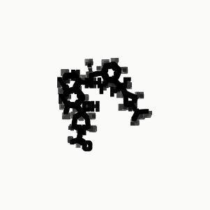 CC(=O)N1CCC(O)(c2cc3c(N[C@H](C)c4cccc(C(F)(F)C5CN(C(C)C)C5)c4F)ncnc3nc2C)CC1